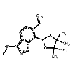 C=Cc1ccc2c(cnn2PI)c1B1OC(C)(C)C(C)(C)O1